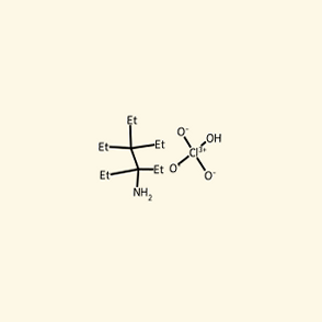 CCC(N)(CC)C(CC)(CC)CC.[O-][Cl+3]([O-])([O-])O